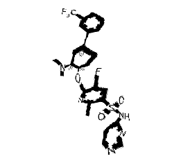 Cc1nc(O[C@H]2CC[C@H](c3cccc(C(F)(F)F)c3)C[C@@H]2N(C)C)c(F)cc1S(=O)(=O)Nc1ccncn1